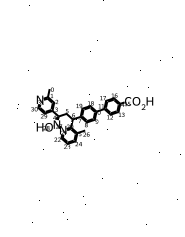 Cc1cc(/C(CC(c2ccc(-c3ccc(C(=O)O)cc3)cc2)c2ncccc2C)=N\O)ccn1